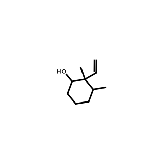 C=CC1(C)C(C)CCCC1O